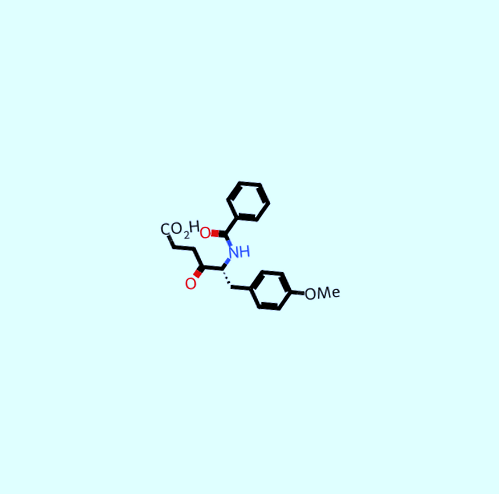 COc1ccc(C[C@@H](NC(=O)c2ccccc2)C(=O)CCC(=O)O)cc1